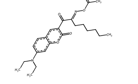 CCCCCC/C(=N\OC(C)=O)C(=O)c1cc2ccc(N(CC)CC)cc2oc1=O